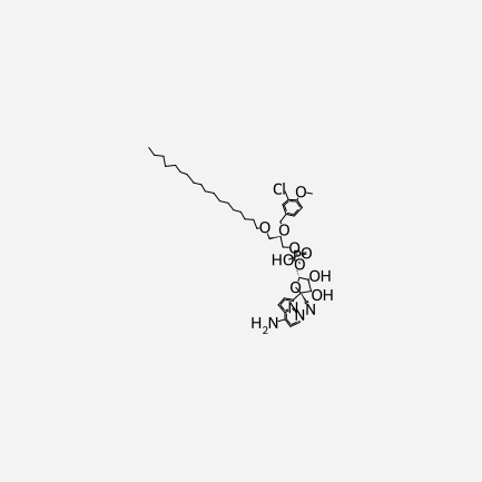 CCCCCCCCCCCCCCCCCCOC[C@H](COP(=O)(O)OC[C@H]1O[C@@](C#N)(c2ccc3c(N)ccnn23)[C@H](O)[C@@H]1O)OCc1ccc(OC)c(Cl)c1